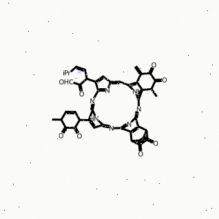 C=C1C(=O)C(=O)C(C)c2c1c1cc3nc(nc4[nH]c(cc4C4C=CC(C)C(=O)C4=O)nc4nc(nc2[nH]1)C1=C4C2C=CC1C(=O)C2=O)C(C(/C=C\C(C)C)C(=O)C=O)=C3